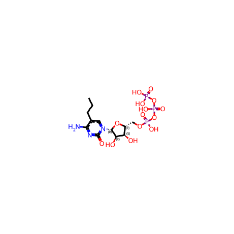 CCCc1cn([C@@H]2O[C@H](COP(=O)(O)OP(=O)(O)OP(=O)(O)O)[C@@H](O)[C@H]2O)c(=O)nc1N